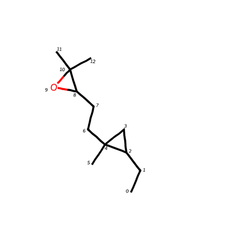 CCC1CC1(C)CCC1OC1(C)C